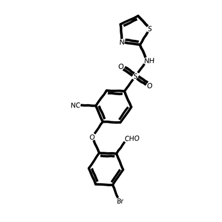 N#Cc1cc(S(=O)(=O)Nc2nccs2)ccc1Oc1ccc(Br)cc1C=O